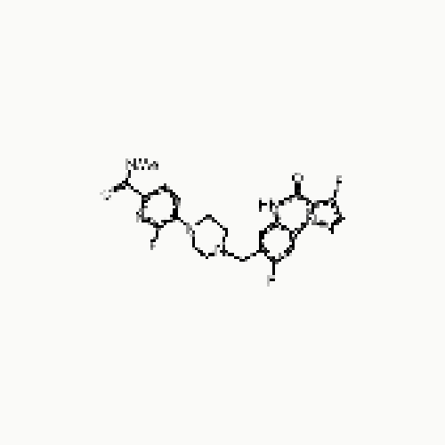 CNC(=O)c1ccc(N2CCN(Cc3cc4[nH]c(=O)c5c(F)cnn5c4cc3F)CC2)c(F)n1